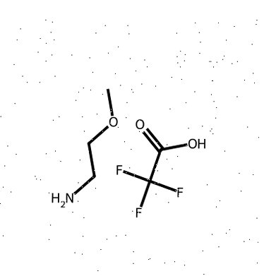 COCCN.O=C(O)C(F)(F)F